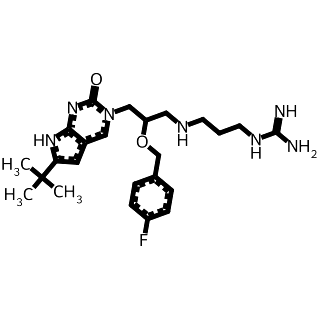 CC(C)(C)c1cc2cn(CC(CNCCCNC(=N)N)OCc3ccc(F)cc3)c(=O)nc2[nH]1